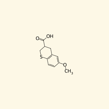 COc1ccc2c(c1)CC(C(=O)O)CS2